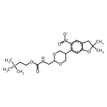 CC1(C)Cc2cc([N+](=O)[O-])c(C3COC(CNC(=O)OCC[Si](C)(C)C)OC3)cc2O1